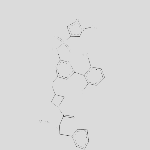 CN[C@@H](Cc1ccccc1)C(=O)N1CC(Oc2cc(-c3c(C)cccc3C)nc(NS(=O)(=O)c3cnn(C)c3)n2)C1